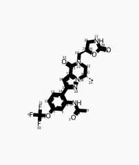 CC(=O)Nc1cc(OC(F)(F)F)ccc1-c1cc2n(n1)[C@@H](C)CN(C[C@H]1CNC(=O)O1)C2=O